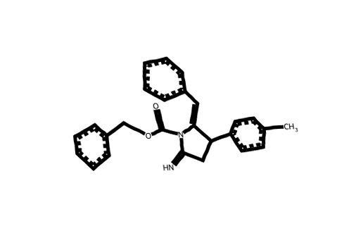 Cc1ccc(C2CC(=N)N(C(=O)OCc3ccccc3)/C2=C\c2ccccc2)cc1